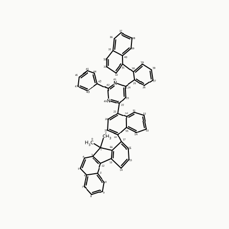 CC1(C)c2ccc3ccccc3c2-c2cccc(-c3ccc(-c4cc(-c5ccccc5-c5cccc6ccccc56)nc(-c5ccccc5)n4)c4ccccc34)c21